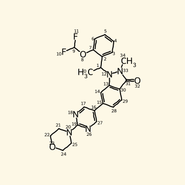 CC(c1ccccc1OC(F)F)n1c2cc(-c3cnc(N4CCOCC4)nc3)ccc2c(=O)n1C